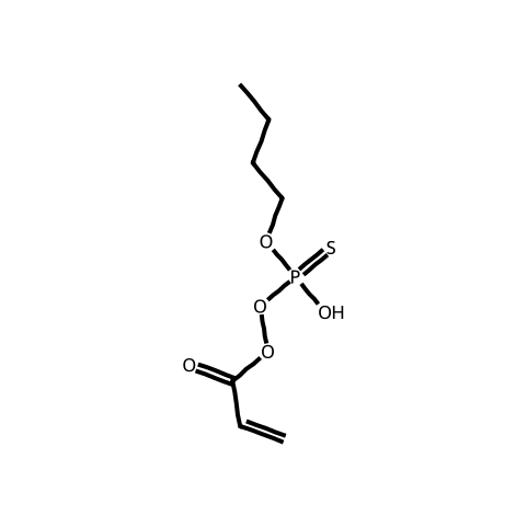 C=CC(=O)OOP(O)(=S)OCCCC